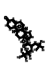 C[C@]12CC[C@H]3[C@@H](CCC4=CC(=O)CC[C@@]43C)[C@@H]1CC[C@@H]2C(=O)N(CC(F)(F)F)CC(F)(F)C(F)(F)F